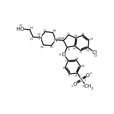 CS(=O)(=O)c1ccc(OC2c3cc(Cl)ccc3CC2N2CCN(CCO)CC2)cc1